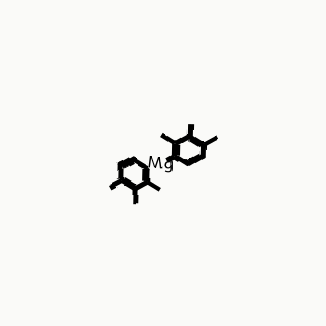 Cc1cc[c]([Mg][c]2ccc(C)c(C)c2C)c(C)c1C